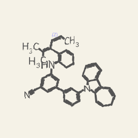 C/C=C\C(=C(C)C)C1=C(Nc2cc(C#N)cc(-c3cccc(-n4c5c(c6ccccc64)C=CCC=C5)c3)c2)CCC=C1